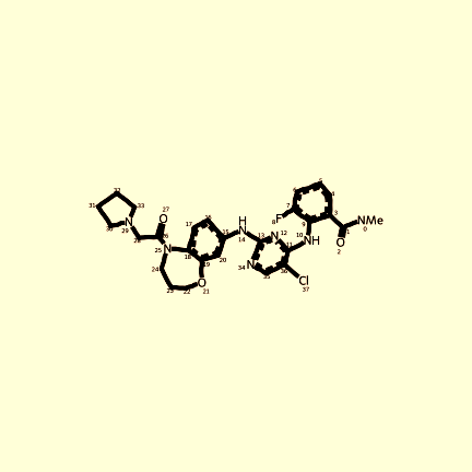 CNC(=O)c1cccc(F)c1Nc1nc(Nc2ccc3c(c2)OCCCN3C(=O)CN2CCCC2)ncc1Cl